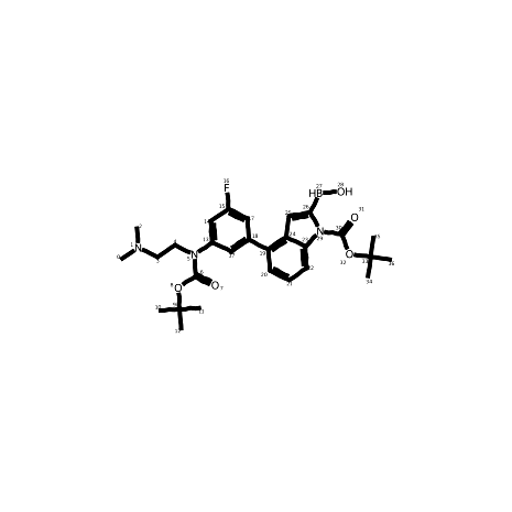 CN(C)CCN(C(=O)OC(C)(C)C)c1cc(F)cc(-c2cccc3c2cc(BO)n3C(=O)OC(C)(C)C)c1